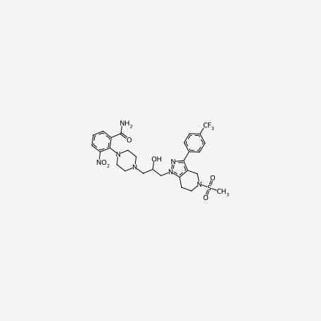 CS(=O)(=O)N1CCc2c(c(-c3ccc(C(F)(F)F)cc3)nn2CC(O)CN2CCN(c3c(C(N)=O)cccc3[N+](=O)[O-])CC2)C1